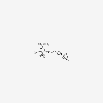 CC(C)(C)OC(=O)N1CC(CCCOc2cc(C(N)=O)cc(Br)c2[N+](=O)[O-])C1